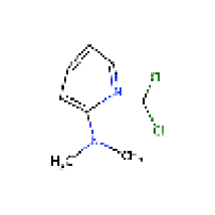 CN(C)c1ccccn1.ClCCl